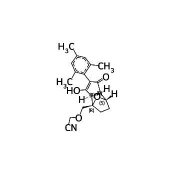 Cc1cc(C)c(C2=C(O)[C@H]3[C@@H](C2=O)[C@@H]2CC[C@@]3(COCC#N)O2)c(C)c1